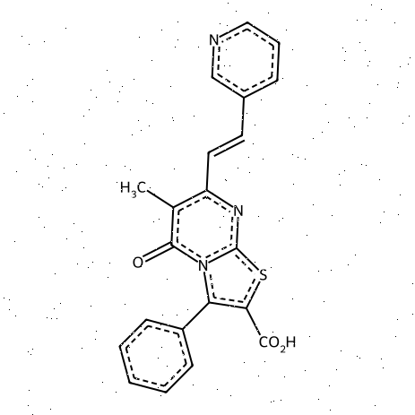 Cc1c(/C=C/c2cccnc2)nc2sc(C(=O)O)c(-c3ccccc3)n2c1=O